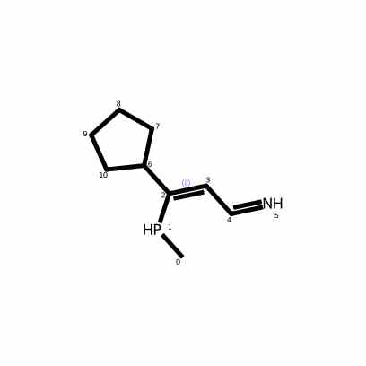 CP/C(=C\C=N)C1CCCC1